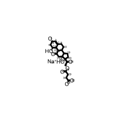 C[C@@]12C(=CC(=O)CC1O)CCC1C2C(=O)C[C@@]2(C)C1CC[C@]2(O)C(=O)COC(=O)CCC(=O)[O-].[Na+]